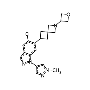 Cn1cc(-n2ncc3cc(Cl)c(C4CC5(C4)CN(C4COC4)C5)cc32)cn1